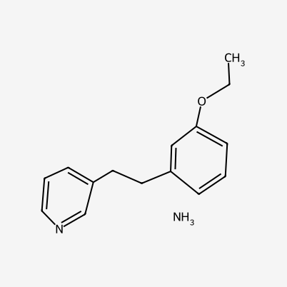 CCOc1cccc(CCc2cccnc2)c1.N